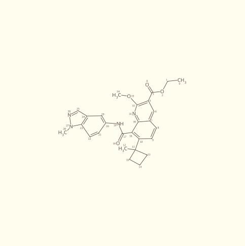 CCOC(=O)c1cc2ccc(C3(C)CCC3)c(C(=O)Nc3ccc4c(cnn4C)c3)c2nc1OC